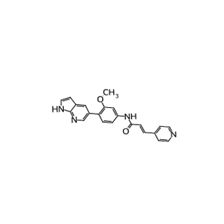 COc1cc(NC(=O)C=Cc2ccncc2)ccc1-c1cnc2[nH]ccc2c1